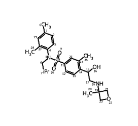 Cc1ccc(N(CC(C)C)S(=O)(=O)c2ccc(C(O)CNC3(C)COC3)c(C)c2)c(C)c1